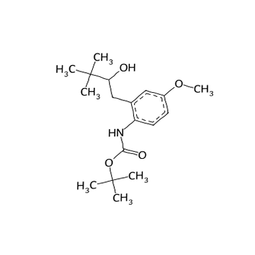 COc1ccc(NC(=O)OC(C)(C)C)c(CC(O)C(C)(C)C)c1